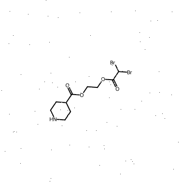 O=C(OCCOC(=O)C1CCNCC1)C(Br)Br